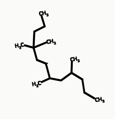 CCCC(C)CC(C)[CH]CC(C)(C)CCC